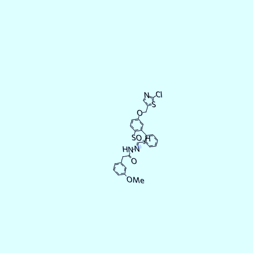 COc1cccc(CC(=O)N/N=C/c2ccccc2-c2cc(OCc3cnc(Cl)s3)ccc2S(=O)(=O)O)c1